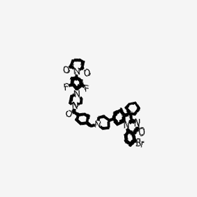 O=C(C1CCC(CN2CCC(c3ccc4c(c3)-n3c(nc(=O)c5c(Br)cccc53)C43CCCCC3)CC2)CC1)N1CCN(c2c(F)cc(N3C(=O)CCCC3=O)cc2F)CC1